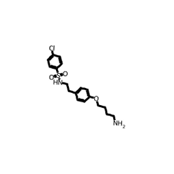 NCCCCOc1ccc(CCNS(=O)(=O)c2ccc(Cl)cc2)cc1